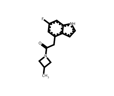 CC1CN(C(=O)Cc2cc(F)cc3[nH]ccc23)C1